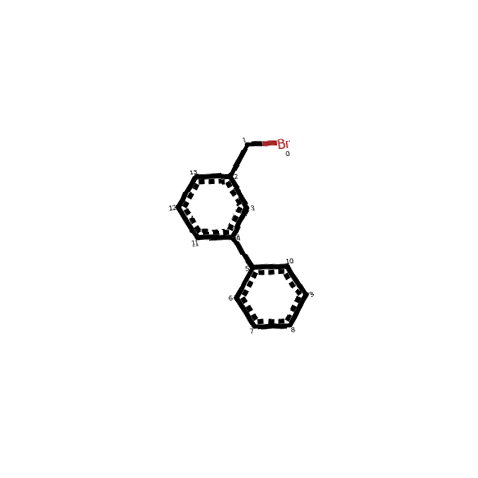 BrCc1[c]c(-c2ccccc2)ccc1